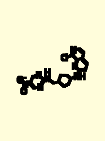 O=[N+]([O-])c1cnc(NC[C@H]2CC[C@H](Nc3ccc4ccnc(Cl)c4n3)CC2)nc1